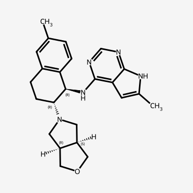 Cc1ccc2c(c1)CC[C@@H](N1C[C@H]3COC[C@H]3C1)[C@@H]2Nc1ncnc2[nH]c(C)cc12